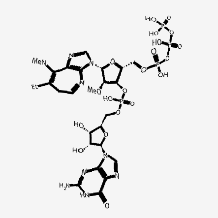 CCC1=C(NC)c2ncn([C@@H]3O[C@H](COP(=O)(O)OP(=O)(O)OP(=O)(O)O)[C@@H](OP(=O)(O)OC[C@H]4O[C@@H](n5cnc6c(=O)[nH]c(N)nc65)[C@H](O)[C@@H]4O)[C@H]3OC)c2N=CC1